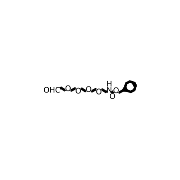 O=CCCOCCOCCOCCOCCNC(=O)OCC1C2CCC#CCCC21